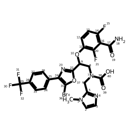 Cn1ccnc1CN(CC(Oc1ccc(F)c(C(N)=O)c1F)c1nc(-c2ccc(C(F)(F)F)cc2)c(Br)o1)C(=O)O